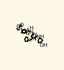 O=C1OCCN1c1ccc2nc(Nc3cc(CN4CCCCC4)nc(NC4CCC(O)CC4)n3)sc2c1